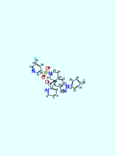 O=C(c1ccccn1)[C@]12Cc3cnn(-c4ccc(F)cc4)c3C=C1CCN(S(=O)(=O)c1cncc(F)c1)C2